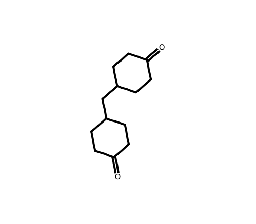 O=C1CCC(CC2CCC(=O)CC2)CC1